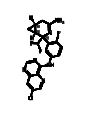 NC1=N[C@@](c2cc(Nc3ncnc4cc(Cl)cnc34)ccc2F)(C(F)F)[C@H]2C[C@H]2C1